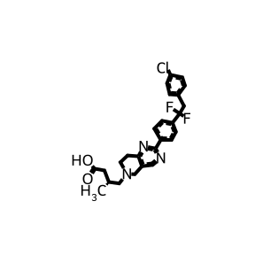 C[C@@H](CC(=O)O)CN1CCc2nc(-c3ccc(C(F)(F)Cc4ccc(Cl)cc4)cc3)ncc2C1